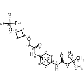 CC(C)(C)OC(=O)NC12CCC(NC(=O)CO[C@H]3C[C@@H](OC(F)(F)F)C3)(CC1)CC2